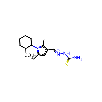 Cc1cc(/C=N/NC(N)=S)c(C)n1C1CCCCC1C(=O)O